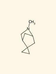 CN1CC2CC1CC21CC1